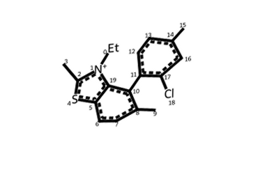 CC[n+]1c(C)sc2ccc(C)c(-c3ccc(C)cc3Cl)c21